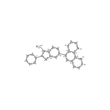 Cn1c(-c2ccccc2)nc2cc(-c3cc4cccnc4c4ncccc34)ccc21